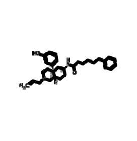 C=CCN1CC[C@@]2(c3cccc(O)c3)C[C@H](NC(=O)CCCCCc3ccccc3)CC[C@@H]2C1